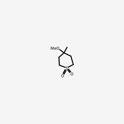 COC1(C)CCS(=O)(=O)CC1